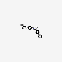 O=C(O)COc1ccc(/C=C/C(=O)c2ccc(C3CCCCC3)cc2)cc1